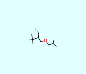 CC(C)COCC(CF)C(C)(C)C